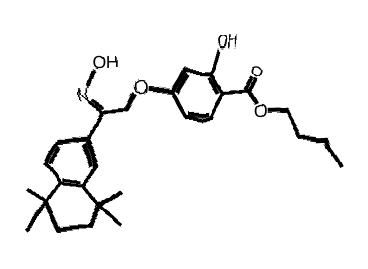 CCCCOC(=O)c1ccc(OCC(=NO)c2ccc3c(c2)C(C)(C)CCC3(C)C)cc1O